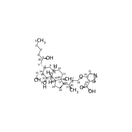 CCCC[C@@H](O)C[C@@H]1C[C@H]2CC[C@]3(C)[C@@H]([C@H](C)CCOc4cnsc4C(=O)O)CC[C@H]3[C@@H]2[C@H](O)[C@@H]1CC